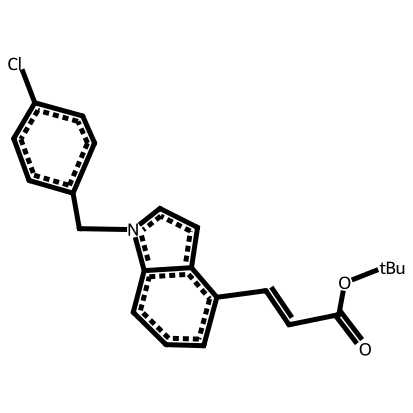 CC(C)(C)OC(=O)C=Cc1cccc2c1ccn2Cc1ccc(Cl)cc1